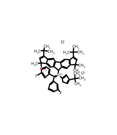 CC(C)(C)C1=CC[C]([Zr+2](=[C](c2cccc(F)c2)c2cccc(F)c2)[CH]2c3cc4c(cc3-c3cc5c(cc32)C(C)(C)C=C5C(C)(C)C)C(C(C)(C)C)=CC4(C)C)=C1.[Cl-].[Cl-]